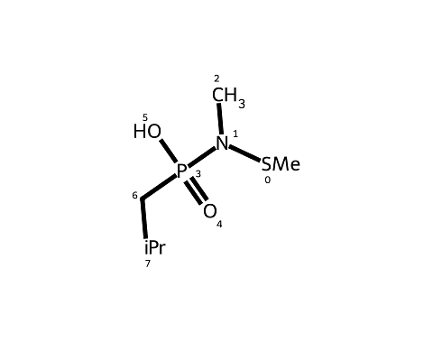 CSN(C)P(=O)(O)CC(C)C